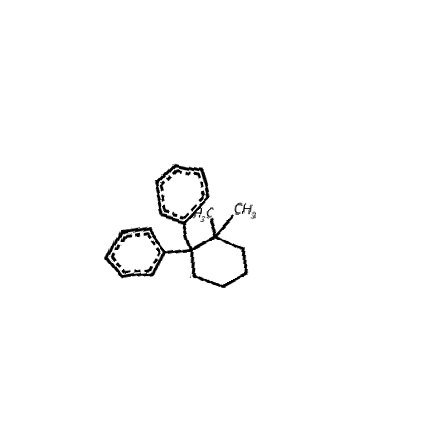 CC1(C)CCC[C]C1(c1ccccc1)c1ccccc1